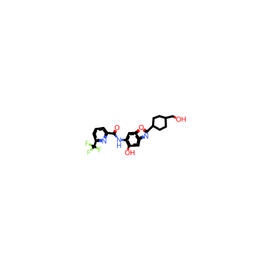 O=C(Nc1cc2oc(C3CCC(CO)CC3)nc2cc1O)c1cccc(C(F)(F)F)n1